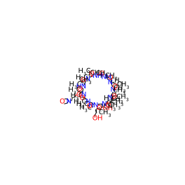 CC[C@@H]1NC(=O)[C@H]([C@H](O)[C@H](C)C/C=C/CO)N(C)C(=O)[C@H](C(C)C)N(C)C(=O)[C@H](CC(C)C)N(C)C(=O)[C@H](CC(C)C)N(C)C(=O)[C@@H](C)NC(=O)[C@H](C)NC(=O)[C@H](CC(C)C)N(C)C(=O)[C@H](C(C)C)NC(=O)[C@H]([C@@H](C)OCCCCN2CCOCC2)N(C)C(=O)[C@@H](C)N(C)C1=O